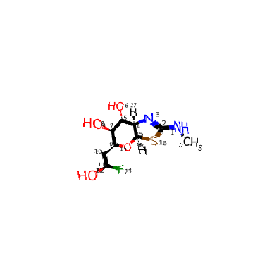 CNC1=N[C@@H]2[C@@H](O)[C@H](O)[C@H](C[C@H](O)F)O[C@@H]2S1